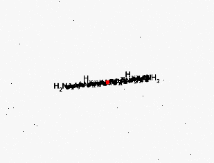 NCCCCCCCNCCCCCCCNCCCCCCCNCCCCCCCN